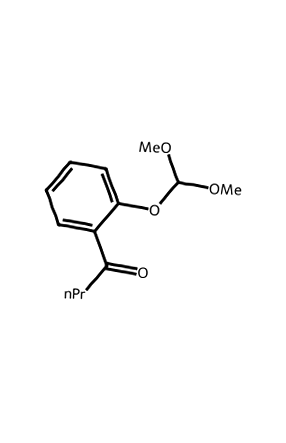 CCCC(=O)c1ccccc1OC(OC)OC